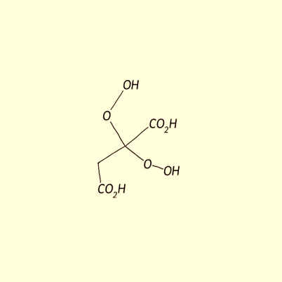 O=C(O)CC(OO)(OO)C(=O)O